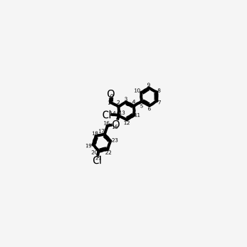 O=CC1C=C(c2ccccc2)C=CC1(Cl)OCc1ccc(Cl)cc1